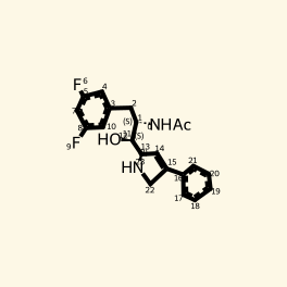 CC(=O)N[C@@H](Cc1cc(F)cc(F)c1)[C@H](O)[C@H]1C=C(c2ccccc2)CN1